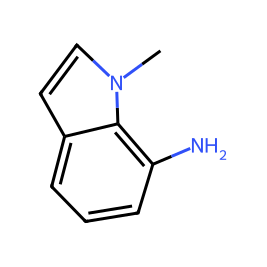 Cn1ccc2cccc(N)c21